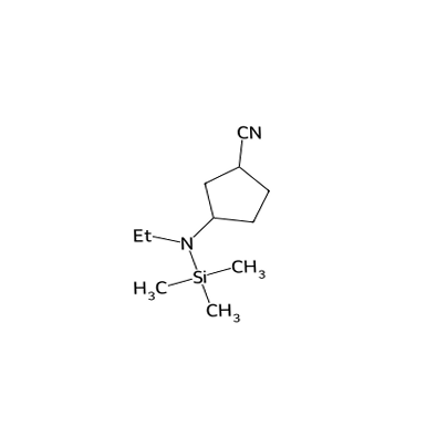 CCN(C1CCC(C#N)C1)[Si](C)(C)C